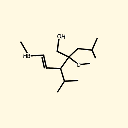 CB/C=C/C(C(C)C)C(CO)(CC(C)C)OC